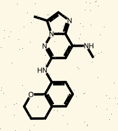 CNc1cc(Nc2cccc3c2OCCC3)nn2c(C)cnc12